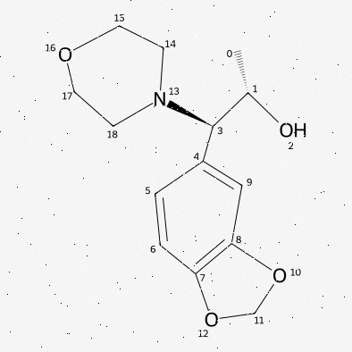 C[C@H](O)[C@@H](c1ccc2c(c1)OCO2)N1CCOCC1